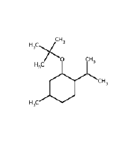 C[C](C)C1CCC(C)CC1OC(C)(C)C